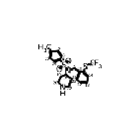 Cc1ccc(S(=O)(=O)N(Cc2ccccc2SC(F)(F)F)C2CCNCC2)cc1